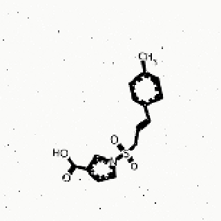 Cc1ccc(C=CCS(=O)(=O)n2ccc(C(=O)O)c2)cc1